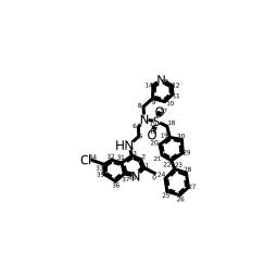 Cc1cc(NCCN(Cc2cccnc2)S(=O)(=O)Cc2ccc(-c3ccccc3)cc2)c2cc(Cl)ccc2n1